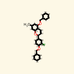 Cc1cc(OCc2ccccc2)c2c(c1)OC(c1ccc(OCc3ccccc3)c(F)c1)C=C2